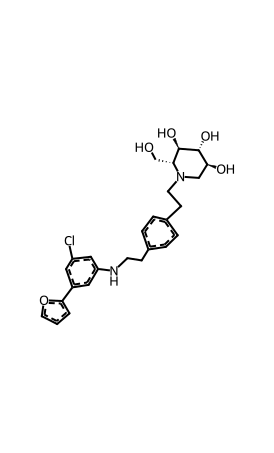 OC[C@@H]1[C@@H](O)[C@H](O)[C@@H](O)CN1CCc1ccc(CCNc2cc(Cl)cc(-c3ccco3)c2)cc1